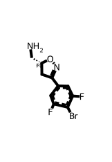 NC[C@H]1CC(c2cc(F)c(Br)c(F)c2)=NO1